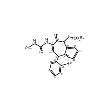 CCOC(=O)CN1C(=O)C(NC(=O)NC(C)C)=NC(c2ccccc2F)c2ccccc21